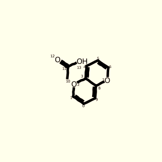 C1=COC2=CC=COC2=C1.CC(=O)O